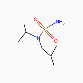 CC(C)CN(C(C)C)S(N)(=O)=O